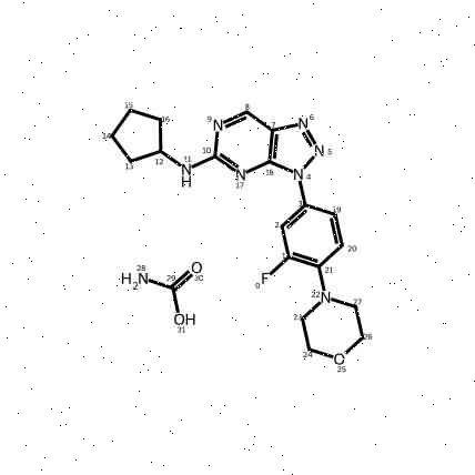 Fc1cc(-n2nnc3cnc(NC4CCCC4)nc32)ccc1N1CCOCC1.NC(=O)O